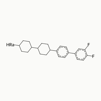 Fc1ccc(-c2ccc(C3CCC(C4CC[CH]([RaH])CC4)CC3)cc2)cc1F